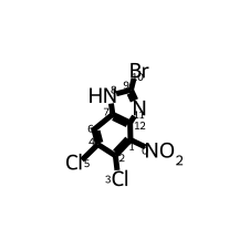 O=[N+]([O-])c1c(Cl)c(Cl)cc2[nH]c(Br)nc12